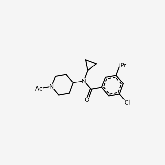 CC(=O)N1CCC(N(C(=O)c2cc(Cl)cc(C(C)C)c2)C2CC2)CC1